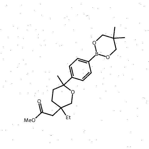 CCC1(CC(=O)OC)CCC(C)(c2ccc(B3OCC(C)(C)CO3)cc2)OC1